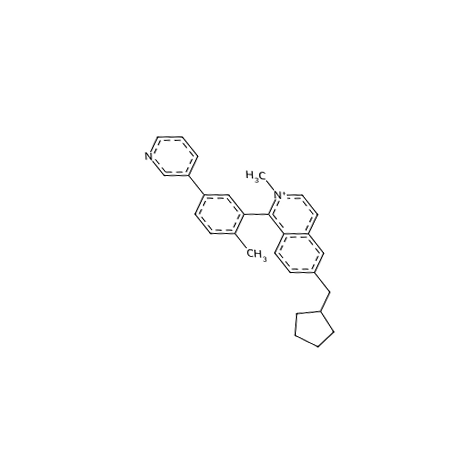 Cc1ccc(-c2cccnc2)cc1-c1c2ccc(CC3CCCC3)cc2cc[n+]1C